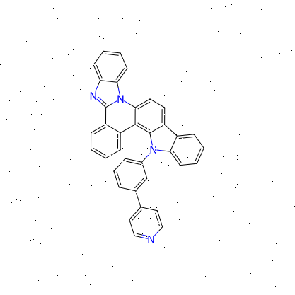 c1cc(-c2ccncc2)cc(-n2c3ccccc3c3ccc4c(c5ccccc5c5nc6ccccc6n45)c32)c1